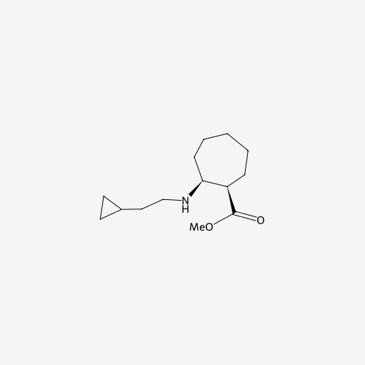 COC(=O)[C@@H]1CCCCC[C@@H]1NCCC1CC1